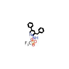 O=S(=O)(ONc1ncc(-c2ccccc2)cc1Cc1ccccc1)C(F)(F)F